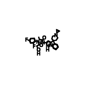 CC(C(=O)Nc1cc(C2(c3ccccc3)CCN(C3CC3)CC2)n[nH]1)N(C(=O)CO)c1ccc(F)cc1F